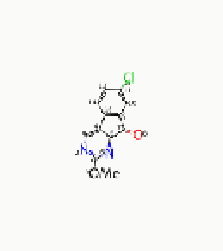 COc1ncc2c(n1)C(=O)c1cc(Cl)ccc1-2